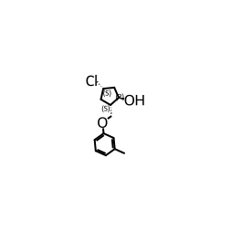 Cc1cccc(OC[C@@H]2C[C@H](Cl)C[C@H]2O)c1